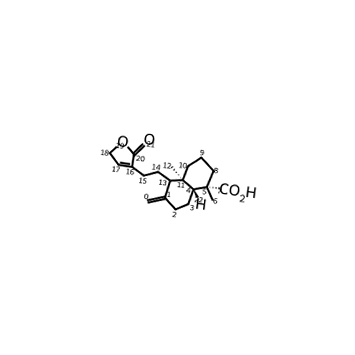 C=C1CC[C@H]2[C@@](C)(C(=O)O)CCC[C@]2(C)C1CCC1=CCOC1=O